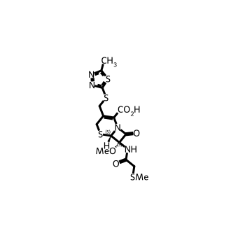 CO[C@@]1(NC(=O)CSC)C(=O)N2C(C(=O)O)=C(CSc3nnc(C)s3)CS[C@H]21